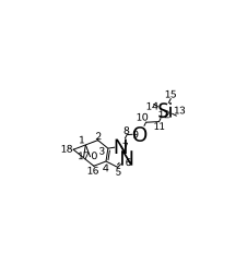 CC12Cc3c(cnn3COCC[Si](C)(C)C)CC1C2